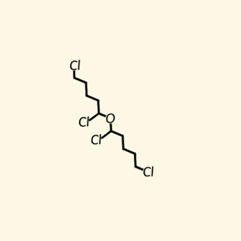 ClCCCCC(Cl)OC(Cl)CCCCCl